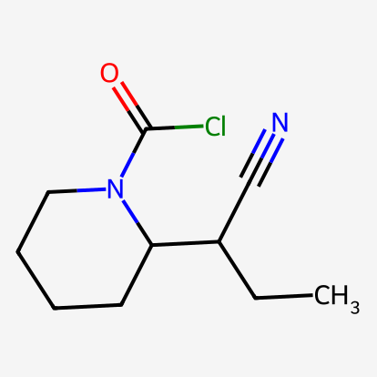 CCC(C#N)C1CCCCN1C(=O)Cl